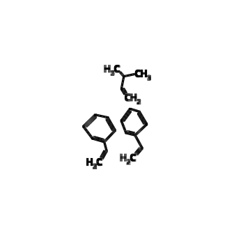 C=CC(C)C.C=Cc1ccccc1.C=Cc1ccccc1